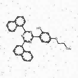 CC(=O)OCCOc1ccc(-c2nc(-c3cccc4ccccc34)nc(-c3cccc4ccccc34)n2)c(O)c1